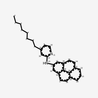 CCCCCCCCc1ccnc(Nc2cc3ccc4cccc5ccc(c2)c3c45)c1